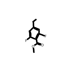 CCc1cc(F)c(C(=O)OC)c(F)c1